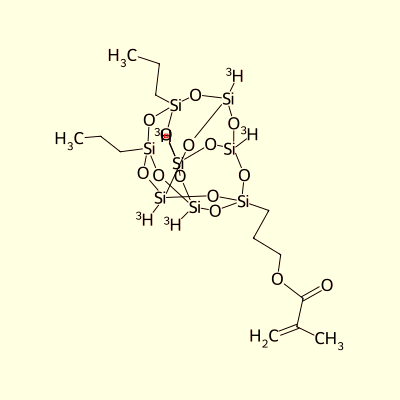 [3H][Si]12O[Si]3([3H])O[Si]4([3H])O[Si](CCCOC(=O)C(=C)C)(O1)O[Si]1([3H])O[Si]([3H])(O2)O[Si](CCC)(O3)O[Si](CCC)(O4)O1